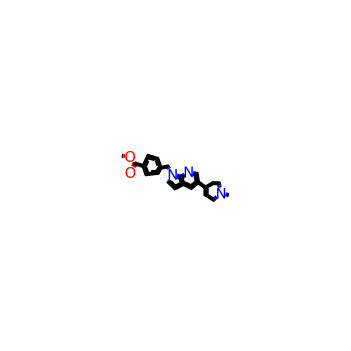 COC(=O)c1ccc(Cn2ccc3cc(C4=CCN(C)CC4)cnc32)cc1